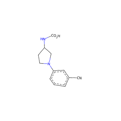 N#Cc1cccc(N2CCC(NC(=O)O)C2)c1